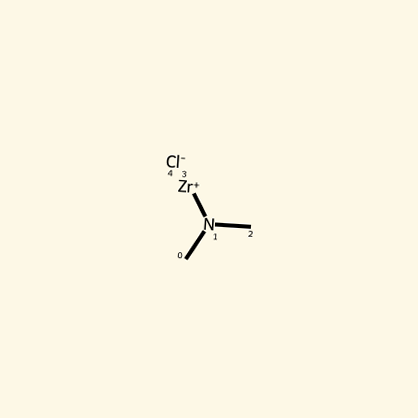 C[N](C)[Zr+].[Cl-]